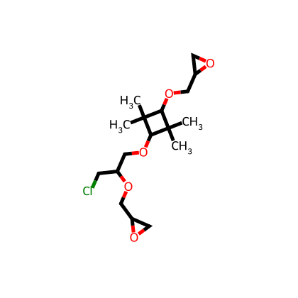 CC1(C)C(OCC(CCl)OCC2CO2)C(C)(C)C1OCC1CO1